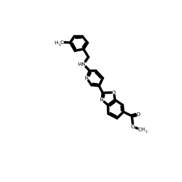 COC(=O)c1ccc2nc(-c3ccc(NCc4cccc(C)c4)nc3)oc2c1